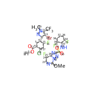 CC(C)OC(=O)c1cc(-c2nn(C)c(C(F)(F)F)c2Br)c(F)cc1Cl.COc1ncc(F)c2nc(S(=O)(=O)Nc3c(F)cccc3F)nn12